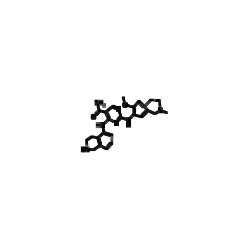 COc1cc2c(cc1Nc1ncc(C(N)=O)c(Nc3cccc4c3CCNC4)n1)CN(C)CC2